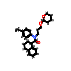 CC(C)c1ccc(N(CCCOC2CCCCO2)C(=O)C2CCCc3ccccc32)cc1